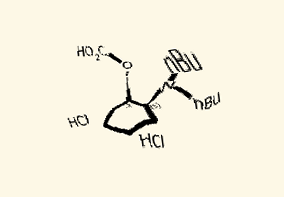 CCCCN(CCCC)[C@H]1CCCC[C@@H]1OC(=O)O.Cl.Cl